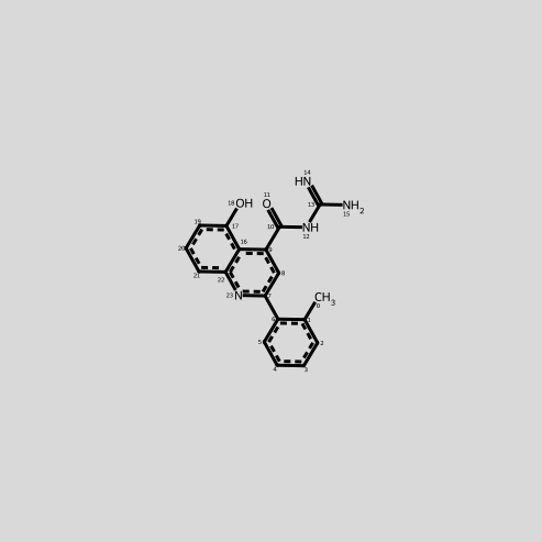 Cc1ccccc1-c1cc(C(=O)NC(=N)N)c2c(O)cccc2n1